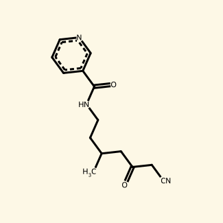 CC(CCNC(=O)c1cccnc1)CC(=O)CC#N